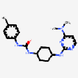 CN(C)c1ccnc(NC2CCC(NC(=O)Nc3ccc(C#N)cc3)CC2)n1